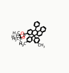 Cc1ccc(C2(c3ccc(C)cc3)c3cc(B4OC(C)(C)C(C)(C)O4)ccc3C(c3ccccc3)c3c2ccc2ccccc32)cc1